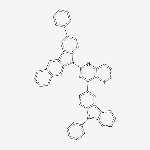 c1ccc(-c2ccc3c(c2)c2cc4ccccc4cc2n3-c2nc(-c3ccc4c(c3)c3ccccc3n4-c3ccccc3)c3ncccc3n2)cc1